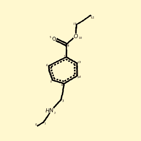 CCNCc1ccc(C(=O)OCC)cc1